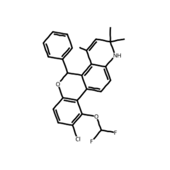 CC1=CC(C)(C)Nc2ccc3c(c21)C(c1ccccc1)Oc1ccc(Cl)c(OC(F)F)c1-3